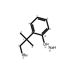 CC(C)(C)CC(C)(C)c1ccccc1O.[NaH]